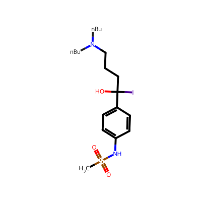 CCCCN(CCCC)CCCC(O)(I)c1ccc(NS(C)(=O)=O)cc1